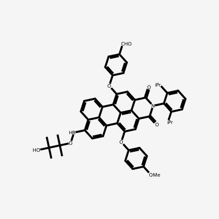 COc1ccc(Oc2cc3c4c(cc(Oc5ccc(C=O)cc5)c5c6cccc7c(BOC(C)(C)C(C)(C)O)ccc(c2c45)c76)C(=O)N(c2c(C(C)C)cccc2C(C)C)C3=O)cc1